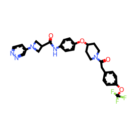 O=C(Nc1ccc(OC2CCN(C(=O)Cc3ccc(OC(F)(F)F)cc3)CC2)cc1)C1CN(c2ccnnc2)C1